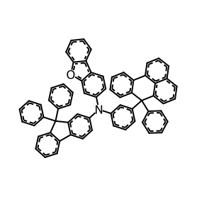 c1ccc(C2(c3ccccc3)c3ccccc3-c3ccc(N(c4cccc(C5(c6ccccc6)c6ccccc6-c6cccc7cccc5c67)c4)c4ccc5c(c4)oc4ccccc45)cc32)cc1